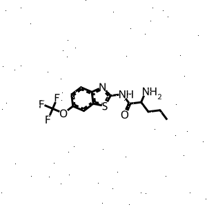 CCCC(N)C(=O)Nc1nc2ccc(OC(F)(F)F)cc2s1